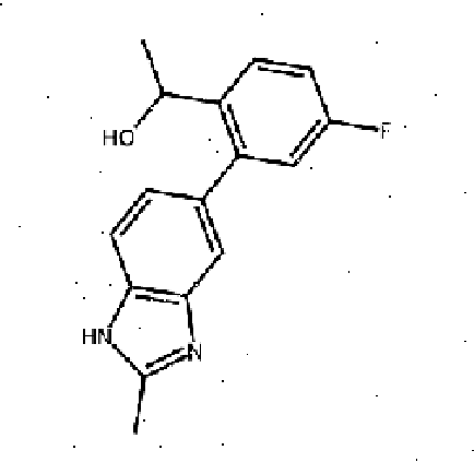 Cc1nc2cc(-c3cc(F)ccc3C(C)O)ccc2[nH]1